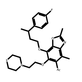 CC(=O)c1c(OCCN2CCSCC2)c(OCCC(C)c2ccc(F)cc2)c2oc(C)nc2c1C